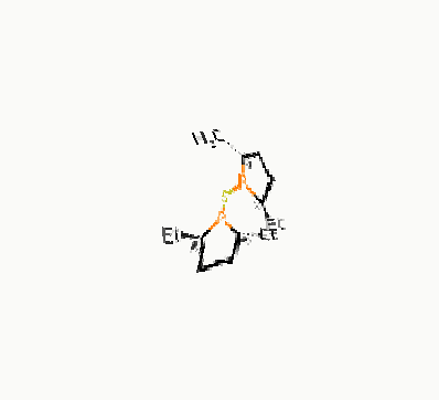 CC[C@@H]1CC[C@@H](CC)P1SP1[C@H](CC)CC[C@H]1C